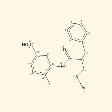 CC(=O)SCC(Cc1ccccc1)C(=O)Nc1cc(C(=O)O)ccc1C